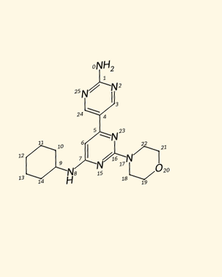 Nc1ncc(-c2cc(NC3CCCCC3)nc(N3CCOCC3)n2)cn1